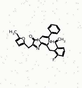 C=Cc1cccc(F)c1Cc1[nH]c(-c2ccccc2)cn2c(=O)c(Cc3ccc(C)o3)nc1-2